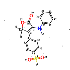 CN(C1=C(c2ccc(S(C)(=O)=O)cc2)C(C)(C)OC1=O)c1ccccc1